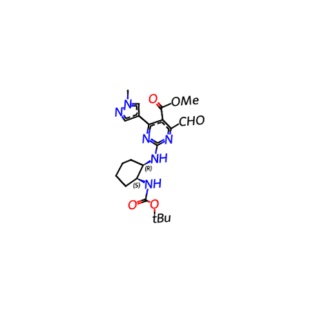 COC(=O)c1c(C=O)nc(N[C@@H]2CCCC[C@@H]2NC(=O)OC(C)(C)C)nc1-c1cnn(C)c1